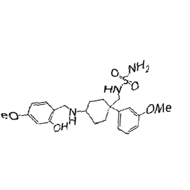 COc1cccc(C2(CNS(N)(=O)=O)CCC(NCc3ccc(OC)cc3O)CC2)c1